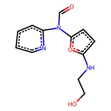 O=CN(c1ccccn1)c1ccc(NCCO)o1